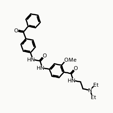 CCN(CC)CCNC(=O)c1ccc(NC(=O)Nc2ccc(C(=O)c3ccccc3)cc2)cc1OC